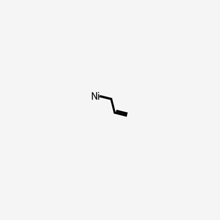 C=C[CH2][Ni]